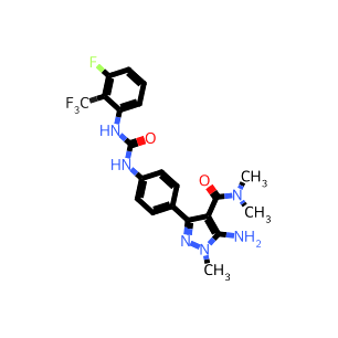 CN(C)C(=O)c1c(-c2ccc(NC(=O)Nc3cccc(F)c3C(F)(F)F)cc2)nn(C)c1N